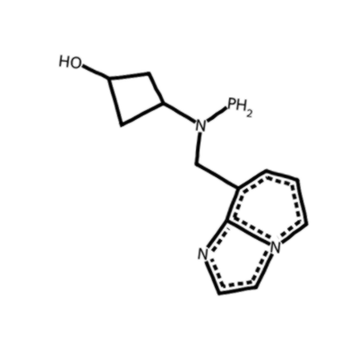 OC1CC(N(P)Cc2cccn3ccnc23)C1